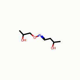 CC(O)CC=NOCC(C)O